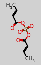 CC=CC(=O)OS(=O)(=O)OC(=O)C=CC